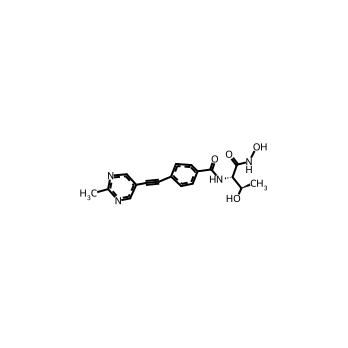 Cc1ncc(C#Cc2ccc(C(=O)N[C@H](C(=O)NO)[C@@H](C)O)cc2)cn1